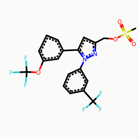 CS(=O)(=O)OCc1cc(-c2cccc(OC(F)(F)F)c2)n(-c2cccc(C(F)(F)F)c2)n1